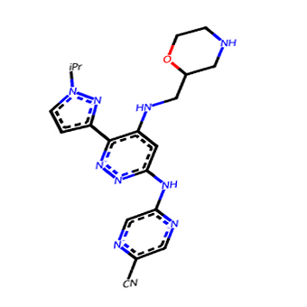 CC(C)n1ccc(-c2nnc(Nc3cnc(C#N)cn3)cc2NCC2CNCCO2)n1